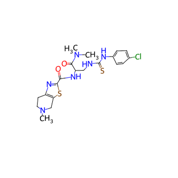 CN1CCc2nc(C(=O)NC(CNC(=S)Nc3ccc(Cl)cc3)C(=O)N(C)C)sc2C1